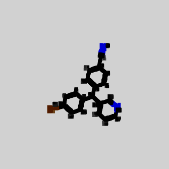 N#Cc1ccc(C(c2ccc(Br)cc2)c2cccnc2)cc1